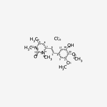 COc1cc(C=Cc2cc(C)n(C)c(=O)[n+]2C)cc(O)c1OC.[Cl-]